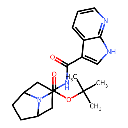 CC(C)(C)OC(=O)N1C2CCC1CC(NC(=O)c1c[nH]c3ncccc13)C2